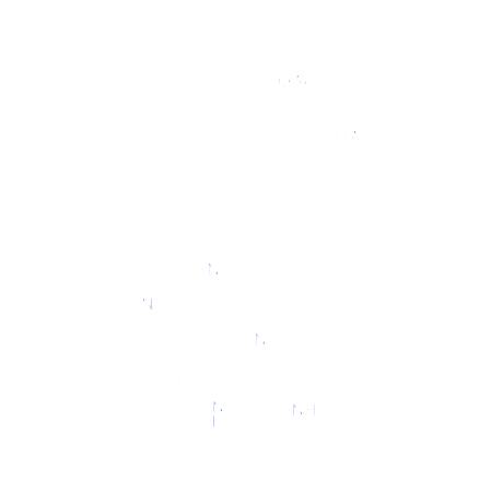 CC(=O)OCC(CCn1cnc2c(=O)[nH]c(N)nc21)COC(C)=O